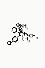 CC=Cn1nc(-c2ccccc2S(N)(=O)=O)c(-c2ccc(Cl)cc2)c1C